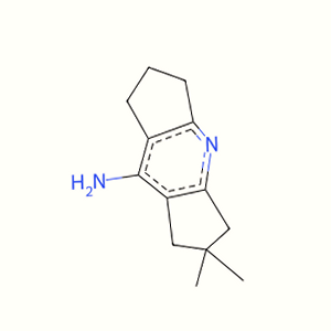 CC1(C)Cc2nc3c(c(N)c2C1)CCC3